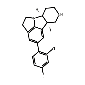 Clc1ccc(-c2cc3c4c(c2)[C@@H]2CNCC[C@@H]2N4CC3)c(Cl)c1